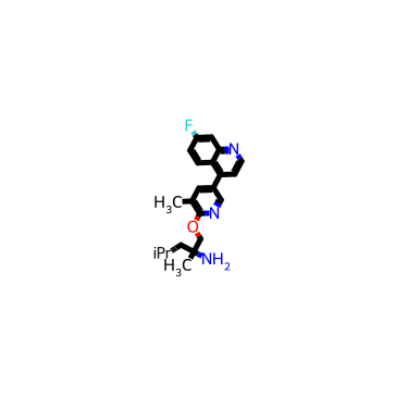 Cc1cc(-c2ccnc3cc(F)ccc23)cnc1OCC(C)(N)CC(C)C